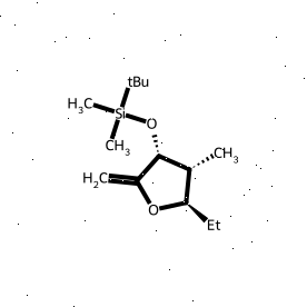 C=C1O[C@H](CC)[C@@H](C)[C@H]1O[Si](C)(C)C(C)(C)C